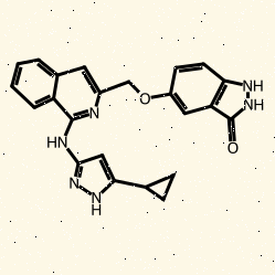 O=c1[nH][nH]c2ccc(OCc3cc4ccccc4c(Nc4cc(C5CC5)[nH]n4)n3)cc12